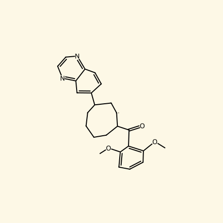 COc1cccc(OC)c1C(=O)C1[CH]CC(c2ccc3nccnc3c2)CCCC1